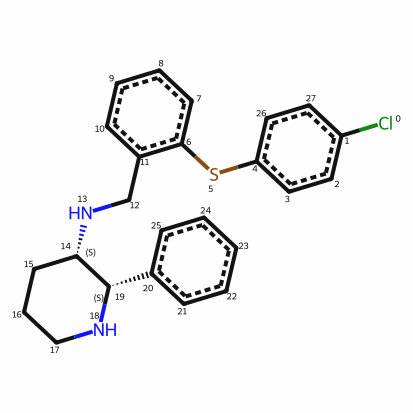 Clc1ccc(Sc2ccccc2CN[C@H]2CCCN[C@H]2c2ccccc2)cc1